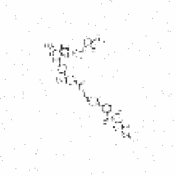 C=C1CCC(N2C(=O)c3ccc(N4CCN(CCCC(=O)N5CCC(C)(c6ccc(Nc7nc(N8CCC[C@@H](N9CCN(C)C9=O)C8)cnc7C(N)=O)cc6)CC5)CC4)cc3C2=O)C(=O)N1